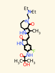 CCN(CC)CCN1CCCc2[nH]c(C=C3C(=O)Nc4cc(NC(=O)C(C)(C)O)c(F)cc43)c(C)c2C1=O